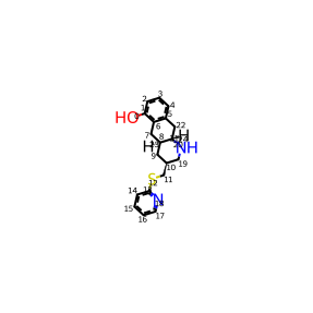 Oc1cccc2c1C[C@@H]1C[C@H](CSc3ccccn3)CN[C@H]1C2